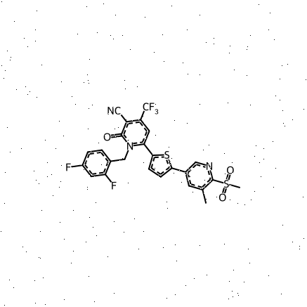 Cc1cc(-c2ccc(-c3cc(C(F)(F)F)c(C#N)c(=O)n3Cc3ccc(F)cc3F)s2)cnc1S(C)(=O)=O